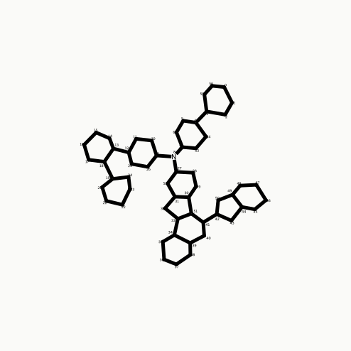 C1CCC(C2CCC(N(C3CCC(C4CCCCC4C4CCCCC4)CC3)C3CCC4C(CC5C6CCCCC6CC(C6CC7CCCCC7C6)C45)C3)CC2)CC1